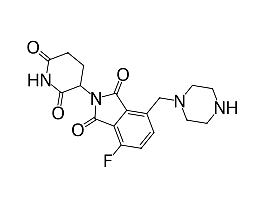 O=C1CCC(N2C(=O)c3c(F)ccc(CN4CCNCC4)c3C2=O)C(=O)N1